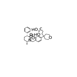 C[C@H]1CC[C@H](c2ccccc2)S(=O)(=O)N1Cc1ccc(C2([C@H](O)CC(=O)O)CCOCC2)cc1F